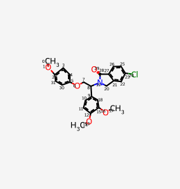 COc1ccc(OCC(c2ccc(OC)c(OC)c2)N2Cc3cc(Cl)ccc3C2=O)cc1